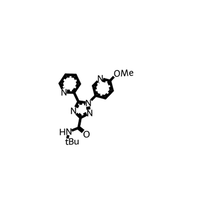 COc1ccc(-n2nc(C(=O)NC(C)(C)C)nc2-c2ccccn2)cn1